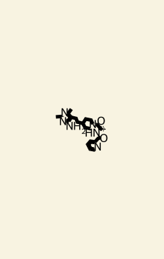 Cc1nc(C)c(CCC2CCN(C(=O)[C@H](C)NC(=O)c3ccccn3)CC2)c(N)n1